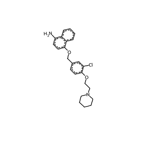 Nc1ccc(OCc2ccc(OCCN3CCCCC3)c(Cl)c2)c2ccccc12